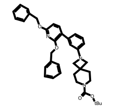 CC(C)(C)OC(=O)N1CCC2(CC1)CN(c1cccc(-c3ccc(OCc4ccccc4)nc3OCc3ccccc3)c1)C2